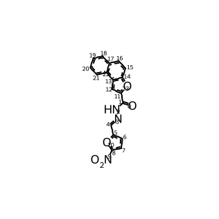 O=C(NN=Cc1ccc([N+](=O)[O-])o1)c1cc2c(ccc3ccccc32)o1